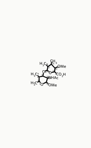 COC1OC(C)C(C)C(OC2OC(C(=O)O)C(OC)C(C)C2C)C1NC(C)=O